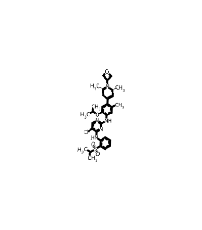 Cc1cc(Nc2ncc(Cl)c(Nc3ccccc3S(=O)(=O)C(C)C)n2)c(OC(C)C)cc1C1=C[C@@H](C)N(C2COC2)[C@@H](C)C1